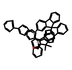 CC1(C)c2ccccc2-c2c(N(c3ccc(-c4ccccc4)cc3)c3ccc4c(c3)C3(c5ccccc5-c5ccc(N(c6ccccc6)c6ccccc6)cc53)c3ccccc3-4)cccc21